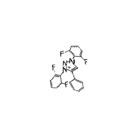 Fc1cccc(F)c1-n1cc(-c2ccccc2)[n+](-c2c(F)cccc2F)n1